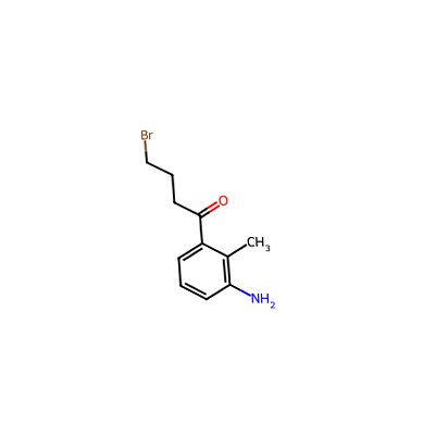 Cc1c(N)cccc1C(=O)CCCBr